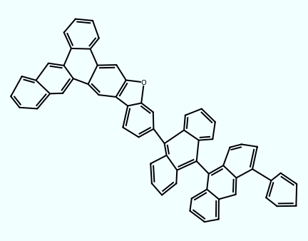 c1ccc(-c2cccc3c(-c4c5ccccc5c(-c5ccc6c(c5)oc5cc7c8ccccc8c8cc9ccccc9cc8c7cc56)c5ccccc45)c4ccccc4cc23)cc1